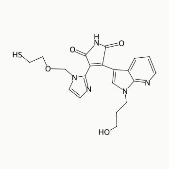 O=C1NC(=O)C(c2nccn2COCCS)=C1c1cn(CCCO)c2ncccc12